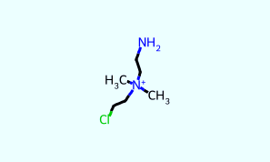 C[N+](C)(CCN)CCCl